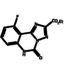 CCOC(=O)c1nc2c3c(F)cccc3[nH]c(=O)n2n1